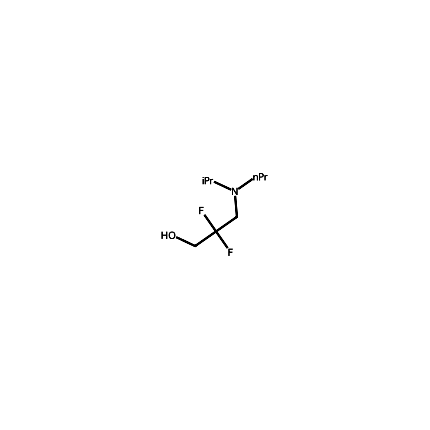 CCCN(CC(F)(F)CO)C(C)C